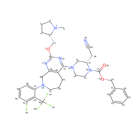 CN1CCC[C@H]1COc1nc2c(c(N3CCN(C(=O)OCc4ccccc4)[C@@H](CC#N)C3)n1)CCCN(c1cccc(F)c1C(F)(F)F)C2